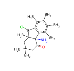 Bc1c(B)c(B)c2c(c1B)B(Cl)C1(B)CC(B)(B)CC(=O)C21N